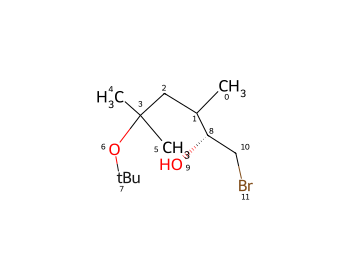 CC(CC(C)(C)OC(C)(C)C)[C@@H](O)CBr